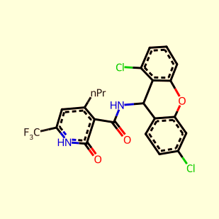 CCCc1cc(C(F)(F)F)[nH]c(=O)c1C(=O)NC1c2ccc(Cl)cc2Oc2cccc(Cl)c21